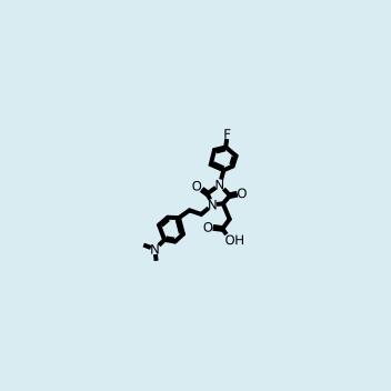 CN(C)c1ccc(CCN2C(=O)N(c3ccc(F)cc3)C(=O)C2CC(=O)O)cc1